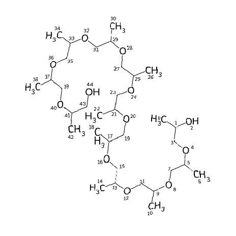 CC(O)COC(C)COC(C)COC(C)COC(C)COC(C)COC(C)COC(C)COC(C)COC(C)COC(C)CO